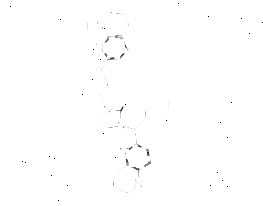 O=C(O)CC(c1ccc2c(n1)OCCN2)N1CCN(CCCc2ccc3c(n2)NCCC3)C1=O